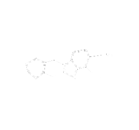 COc1ccc2c(ncn2Cc2ccccc2Cl)c1C(=O)O